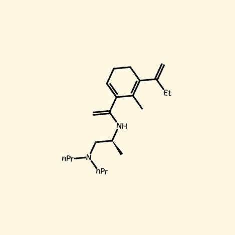 C=C(CC)C1=C(C)C(C(=C)N[C@@H](C)CN(CCC)CCC)=CCC1